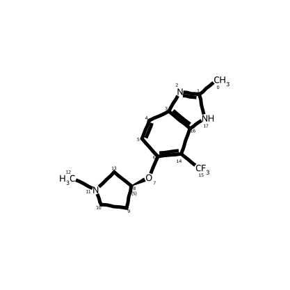 Cc1nc2ccc(O[C@H]3CCN(C)C3)c(C(F)(F)F)c2[nH]1